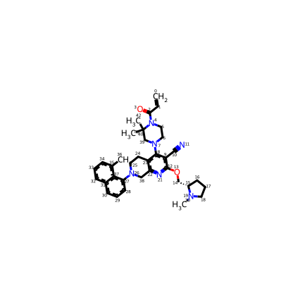 C=CC(=O)N1CCN(c2c(C#N)c(OC[C@@H]3CCCN3C)nc3c2CCN(c2cccc4cccc(C)c24)C3)CC1(C)C